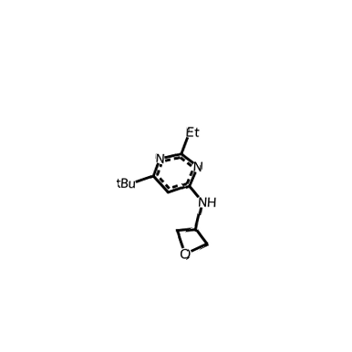 CCc1nc(NC2COC2)cc(C(C)(C)C)n1